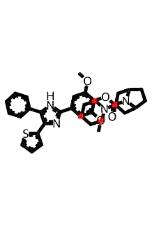 COc1cc(-c2nc(-c3cccs3)c(-c3ccccc3)[nH]2)cc(OC)c1OC(=O)N1C2CCC1CC(N1CCCCC1)C2